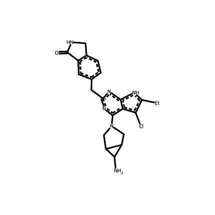 CCc1[nH]c2nc(Cc3ccc4c(c3)C(=O)NC4)nc(N3CC4C(N)C4C3)c2c1Cl